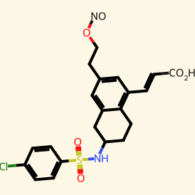 O=NOCCc1cc(/C=C/C(=O)O)c2c(c1)CC(NS(=O)(=O)c1ccc(Cl)cc1)CC2